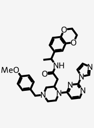 COc1ccc(CN2CCN(c3ccnc(-n4ccnc4)n3)C(CC(=O)NC(C)c3ccc4c(c3)OCCO4)C2)cc1